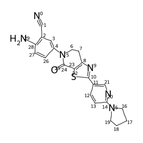 N#Cc1cc(N2CCc3nc(-c4ccc(N5CCCC5)nc4)sc3C2=O)ccc1N